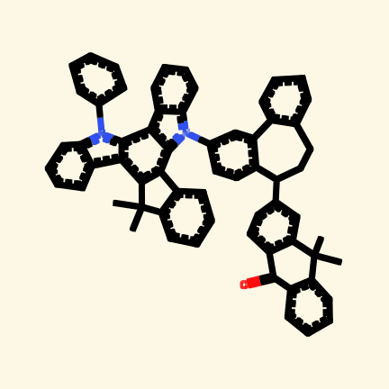 CC1(C)c2ccccc2C(=O)c2ccc(C3CCc4ccccc4-c4cc(-n5c6ccccc6c6c5c5c(c7c8ccccc8n(-c8ccccc8)c76)C(C)(C)c6ccccc6-5)ccc43)cc21